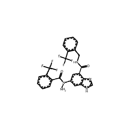 NN(C(=O)c1ccccc1C(F)(F)F)c1cc(C(=O)NCc2ccccc2C(F)(F)F)c2nc[nH]c2c1